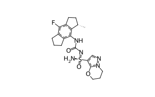 C[C@H]1CCc2c(F)c3c(c(NC(=O)N=[S@@](N)(=O)c4cnn5c4OCCC5)c21)CCC3